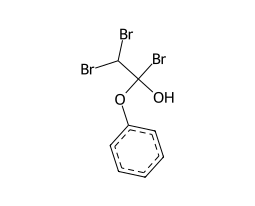 OC(Br)(Oc1ccccc1)C(Br)Br